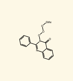 CSOOOn1c(-c2ccccc2)nc2ccccc2c1=O